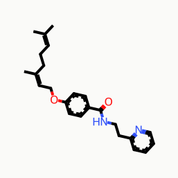 CC(C)=CCCC(C)=CCOc1ccc(C(=O)NCCc2ccccn2)cc1